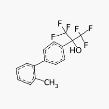 Cc1ccccc1-c1ccc(C(O)(C(F)(F)F)C(F)(F)F)cc1